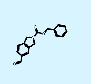 O=Cc1ccc2c(c1)CN(C(=O)OCc1ccccc1)C2